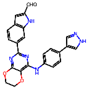 O=Cc1cc2ccc(-c3nc(Nc4ccc(-c5cn[nH]c5)cc4)c4c(n3)OCCO4)cc2[nH]1